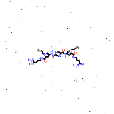 CC(C)CCn1cc(NC(=O)c2cnc(C(=O)Nc3cc(C(=O)NCCCC(=N)N)n(CCC(C)C)c3)cn2)cc1C(=O)NCCCC(=N)N